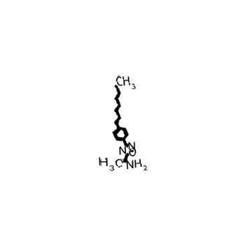 CCCCCCCCc1ccc(-c2noc([C@H](C)N)n2)cc1